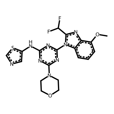 COc1cccc2c1nc(C(F)F)n2-c1nc(Nc2cncs2)nc(N2CCOCC2)n1